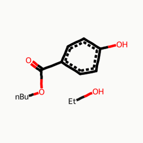 CCCCOC(=O)c1ccc(O)cc1.CCO